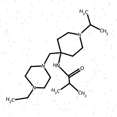 CCN1CCN(CC2(NC(=O)C(C)C)CCN(C(C)C)CC2)CC1